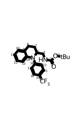 CC(C)(C)OC(=O)NCC1CCc2ccccc2N1c1ccc(C(F)(F)F)cc1